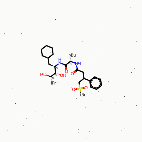 CCCC[C@H](NC(=O)CC(CS(=O)(=O)C(C)(C)C)c1ccccc1)C(=O)N[C@H](CC1CCCCC1)[C@H](O)[C@@H](O)C(C)C